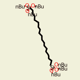 CCCCO[Si](CCCCCCCCCCCCCCCCCC[Si](OCCCC)(OCCCC)OCCCC)(OCCCC)OCCCC